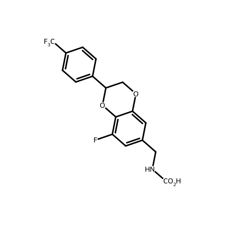 O=C(O)NCc1cc(F)c2c(c1)OCC(c1ccc(C(F)(F)F)cc1)O2